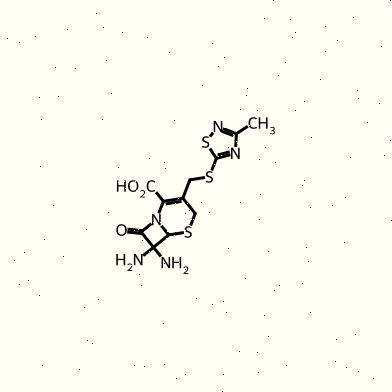 Cc1nsc(SCC2=C(C(=O)O)N3C(=O)C(N)(N)C3SC2)n1